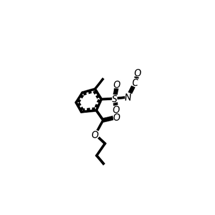 CCCOC(=O)c1cccc(C)c1S(=O)(=O)N=C=O